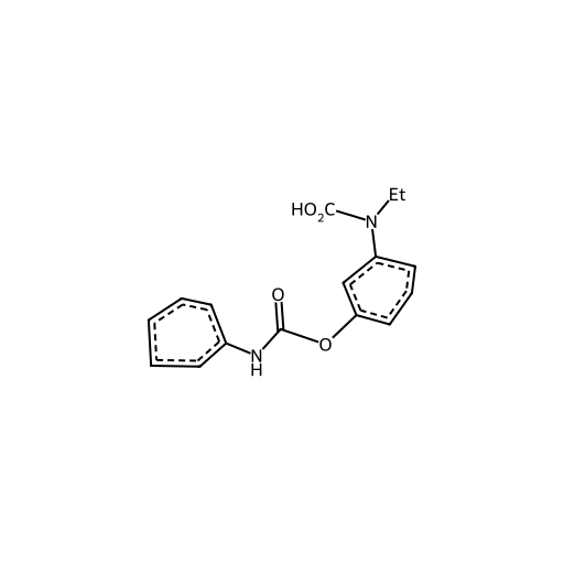 CCN(C(=O)O)c1cccc(OC(=O)Nc2ccccc2)c1